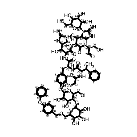 CC(c1ccccc1)[C@H](NC(=O)CN)C(=O)N[C@@H](Cc1ccc(OC2OC(CO)C(OC3OC(COCc4ccc(Oc5ccccc5)cc4)C(O)C(O)C3O)C(O)C2O)cc1)C(=O)N[C@H](C(=O)N[C@H](C(=O)N[C@H]([C]=O)CO)C(O)C1CNC(=N)N1C1OC(CO)C(O)C(O)C1O)C(O)C1CNC(=N)N1